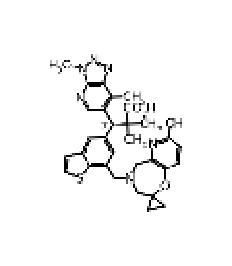 Cc1c([C@H](c2cc(CN3Cc4nc(O)ccc4OC4(CC4)C3)c3sccc3c2)C(C)(C)C(=O)O)cnc2c1nnn2C